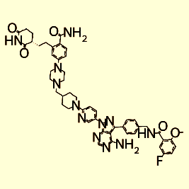 COc1ccc(F)cc1C(=O)NCc1ccc(-c2nn(-c3ccc(N4CCC(CN5CCN(c6ccc(C(N)=O)c(CC[C@H]7CCC(=O)NC7=O)c6)CC5)CC4)nc3)c3ncnc(N)c23)cc1